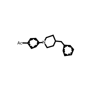 CC(=O)c1ccc(N2CCC(Cc3ccccc3)CC2)cc1